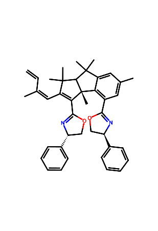 C=C/C(C)=C\C1=C(C2=N[C@@H](c3ccccc3)CO2)[C@@]2(C)c3c(C4=N[C@@H](c5ccccc5)CO4)cc(C)cc3C(C)(C)C2C1(C)C